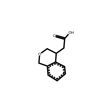 O=C(O)CC1COCc2ccccc21